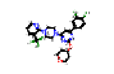 Fc1ccc(-c2cc(N3CCN(c4ncccc4C(F)(F)F)CC3)nc(OC3CCOCC3)n2)cc1Cl